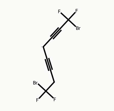 FC(F)(Br)C#C[CH]C#CCC(F)(F)Br